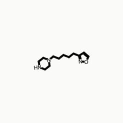 c1cc(CCCCCN2CCNCC2)no1